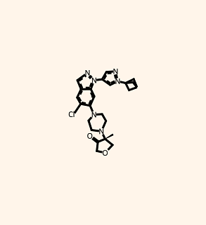 C[C@@]1(N2CCN(c3cc4c(cnn4-c4cnn(C56CC(C5)C6)c4)cc3Cl)CC2)COCC1=O